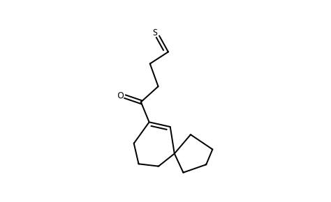 O=C(CCC=S)C1=CC2(CCCC2)CCC1